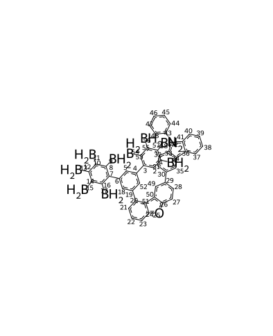 Bc1cc(-c2cc(-c3c(B)c(B)c(B)c(B)c3B)cc(-c3cccc4oc5ccc(-c6ccc7c(c6)c6ccccc6n7-c6ccccc6)cc5c34)c2)c(B)c(B)c1B